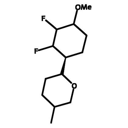 COC1CC[C@@H](C2CCC(C)CO2)C(F)C1F